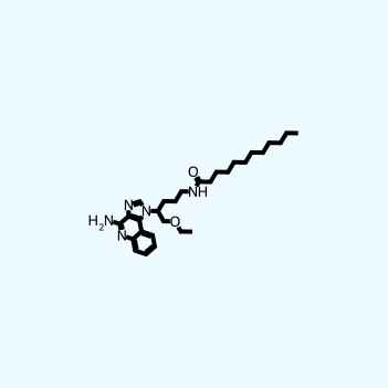 CCCCCCCCCCCC(=O)NCCCC(COCC)n1cnc2c(N)nc3ccccc3c21